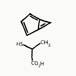 CC(S)C(=O)O.c1cc2cc-2c1